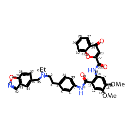 CCN(CCc1ccc(NC(=O)c2cc(OC)c(OC)cc2NC(=O)c2cc(=O)c3ccccc3o2)cc1)Cc1ccc2oncc2c1